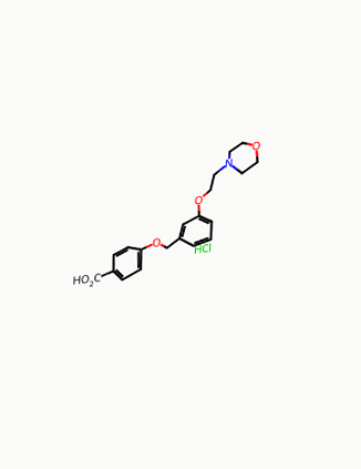 Cl.O=C(O)c1ccc(OCc2cccc(OCCN3CCOCC3)c2)cc1